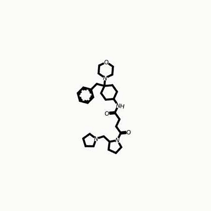 O=C(CCC(=O)N1CCCC1CN1CCCC1)NC1CCC(Cc2ccccc2)(N2CCOCC2)CC1